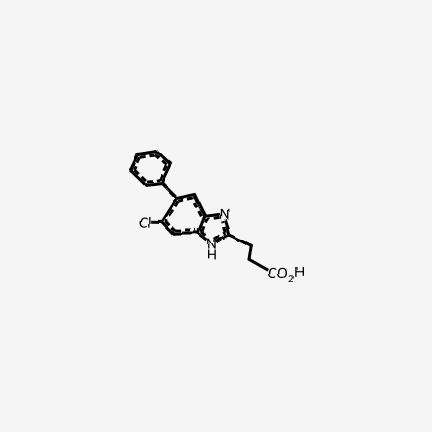 O=C(O)CCc1nc2cc(-c3ccccc3)c(Cl)cc2[nH]1